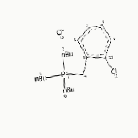 CCCC[P+](CCCC)(CCCC)Cc1ccccc1Cl.[Cl-]